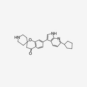 O=C1CC2(CCNCC2)Oc2cc(-c3c[nH]c4nc(C5CCCC5)ccc34)ccc21